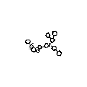 c1ccc(-c2ccc(N(c3ccc(-c4ccc5c(c4)oc4ccc6nc(-c7ccccc7)sc6c45)cc3)c3ccc(-c4ccccc4)c(-c4ccccc4)c3)cc2)cc1